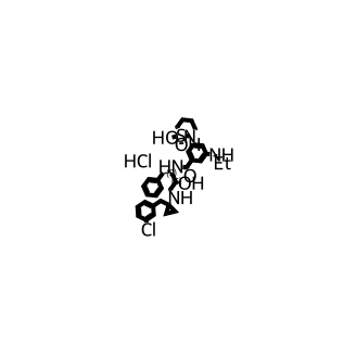 CCNc1cc(C(=O)N[C@@H](Cc2ccccc2)[C@@H](O)CNC2(Cc3cccc(Cl)c3)CC2)cc(N2CCCCS2(O)O)c1.Cl